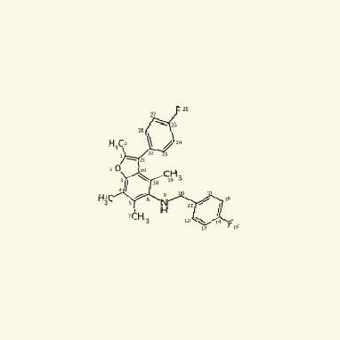 Cc1oc2c(C)c(C)c(NCc3ccc(F)cc3)c(C)c2c1-c1ccc(F)cc1